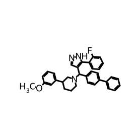 COc1cccc(C2CCCN(C(c3ccc(-c4ccccc4)cc3)c3cn[nH]c3-c3ccccc3F)C2)c1